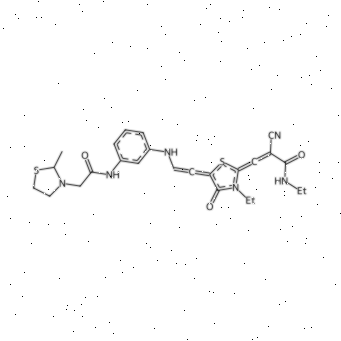 CCNC(=O)C(=C=c1sc(=C=CNc2cccc(NC(=O)CN3CCSC3C)c2)c(=O)n1CC)C#N